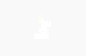 CC(C)(C)C(=O)N1CCC(C(C#N)CCF)CC1